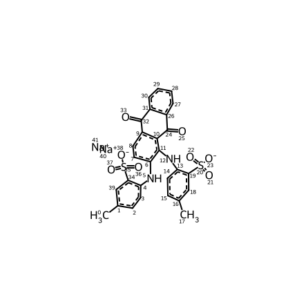 Cc1ccc(Nc2ccc3c(c2Nc2ccc(C)cc2S(=O)(=O)[O-])C(=O)c2ccccc2C3=O)c(S(=O)(=O)[O-])c1.[Na+].[Na+]